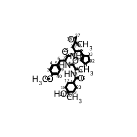 COc1ccc(CC(NC(=O)C(C)NC(=O)C2CCC(C)(O)CC2)C(=O)NC(CC2=CCCC2)CC2(C)CO2)cc1